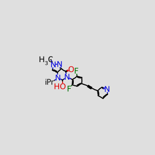 CC(C)N1c2cn(C)nc2C(=O)N(c2c(F)cc(C#Cc3cccnc3)cc2F)C1O